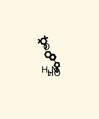 CC1(C)CC(OC[C@H]2CCc3cc([C@H]4CC[C@](N)(CO)C4)ccc3C2)CC(C)(C)C1